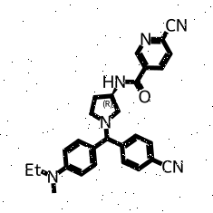 CCN(C)c1ccc(C(c2ccc(C#N)cc2)N2CC[C@@H](NC(=O)c3ccc(C#N)nc3)C2)cc1